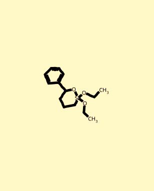 CCO[Si]1(OCC)CCCC(c2ccccc2)O1